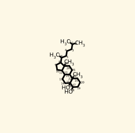 CC(C)CCCC(C)C1CCC2C3CCC4(O)C(O)CCCC4(C)C3CCC12C